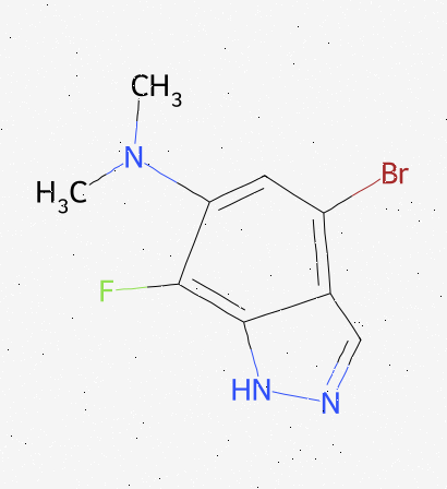 CN(C)c1cc(Br)c2cn[nH]c2c1F